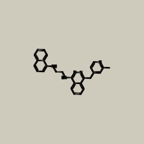 Cc1cc(Cc2nnc(NCCNc3cccc4ccccc34)c3ccccc23)ccn1